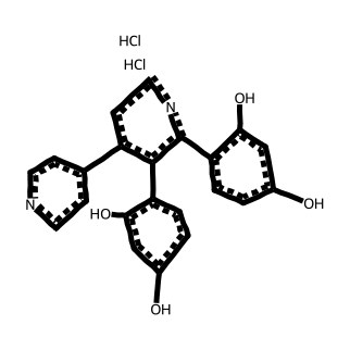 Cl.Cl.Oc1ccc(-c2nccc(-c3ccncc3)c2-c2ccc(O)cc2O)c(O)c1